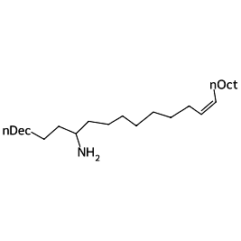 CCCCCCCC/C=C\CCCCCCCC(N)CCCCCCCCCCCC